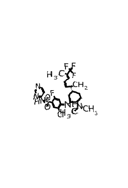 C=C(/C=C\C=C(/C)C(F)(F)F)[C@@H]1CC[C@H](N(C)C)[C@@H](Nc2cc(F)c(S(=O)(=O)Nc3ccncn3)cc2Cl)C1